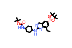 CCc1cc(B2OC(C)(C)C(C)(C)O2)cc2cnc(NC3CCC(NC(=O)OC(C)(C)C)CC3)nc12